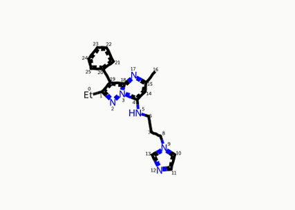 CCc1nn2c(NCCCn3ccnc3)cc(C)nc2c1-c1ccccc1